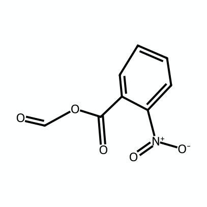 O=COC(=O)c1ccccc1[N+](=O)[O-]